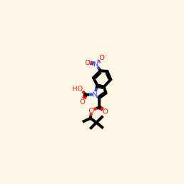 CC(OC(=O)c1cc2ccc([N+](=O)[O-])cc2n1C(=O)O)C(C)(C)C